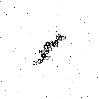 CCC1c2cc(Oc3c(F)cnn4cc(-c5noc(CN(C)C)n5)cc34)ccc2CCN1C(=O)Nc1ccc(CN2CCN(CC)CC2)c(C(F)(F)F)c1